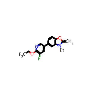 C=C1Oc2ccc(-c3cnc(OCC(F)(F)F)c(F)c3)cc2N1CC